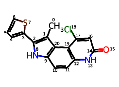 Cc1c(-c2cccs2)[nH]c2ccc3[nH]c(=O)cc(Cl)c3c12